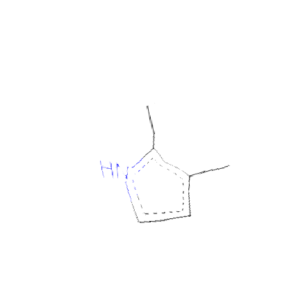 [CH2]c1[nH]ccc1C